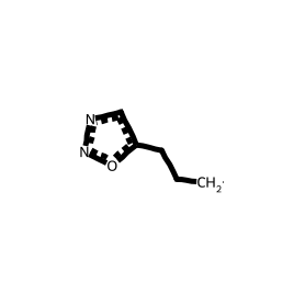 [CH2]CCc1cnno1